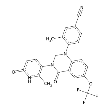 Cc1cc(C#N)ccc1N1CN(c2ccc(=O)[nH]c2C)C(=O)c2cc(OC(F)(F)F)ccc21